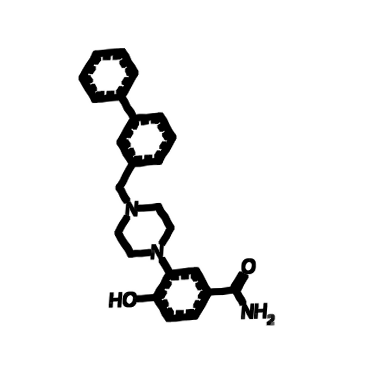 NC(=O)c1ccc(O)c(N2CCN(Cc3cccc(-c4ccccc4)c3)CC2)c1